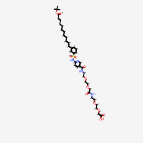 CC(C)(C)OC(=O)CCCCCCCCCCCc1cccc(S(=O)(=O)Nc2ccc(C(=O)NCCOCCOCC(=O)NCCOCCOCC(=O)O)cn2)c1